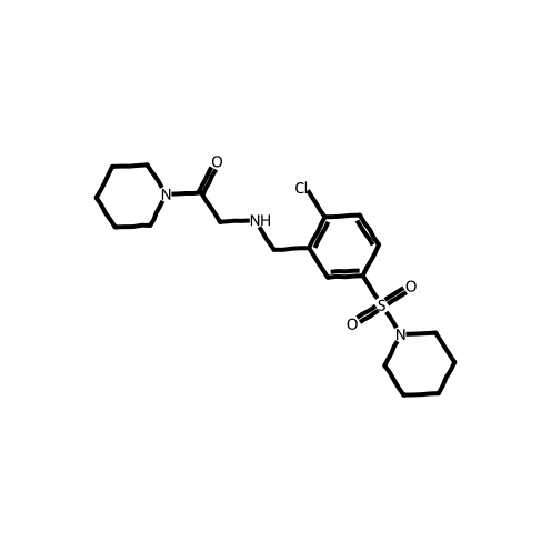 O=C(CNCc1cc(S(=O)(=O)N2CCCCC2)ccc1Cl)N1CCCCC1